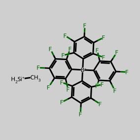 C[SiH2+].Fc1c(F)c(F)c([B-](c2c(F)c(F)c(F)c(F)c2F)(c2c(F)c(F)c(F)c(F)c2F)c2c(F)c(F)c(F)c(F)c2F)c(F)c1F